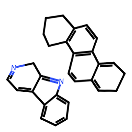 C1=NCC2=Nc3ccccc3C2=C1.C1=c2ccc3c4c(ccc3c2=CCC1)CCCC4